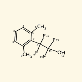 Cc1cccc(C)c1C(F)(F)C(O)(F)F